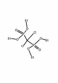 CCOP(=O)(OCC)C(Cl)(Cl)P(=O)(OCC)OCC